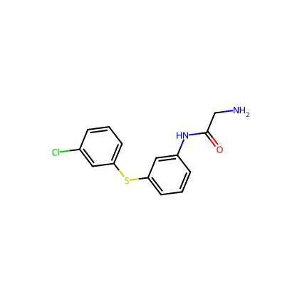 NCC(=O)Nc1cccc(Sc2cccc(Cl)c2)c1